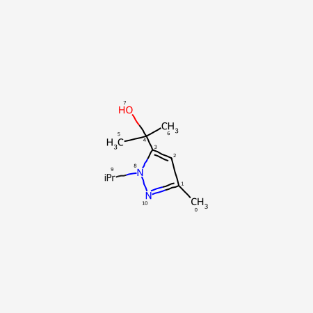 Cc1cc(C(C)(C)O)n(C(C)C)n1